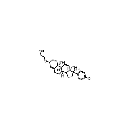 C[C@]12CCC(OCCO)C=C1CC[C@@H]1[C@H]2CC[C@@]2(C)[C@H]1CCC2(O)c1ccc(Cl)cc1